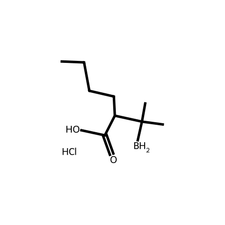 BC(C)(C)C(CCCC)C(=O)O.Cl